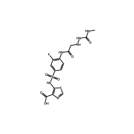 CNC(=O)NNCC(=O)Nc1ccc(S(=O)(=O)Nc2scnc2C(=O)O)cc1F